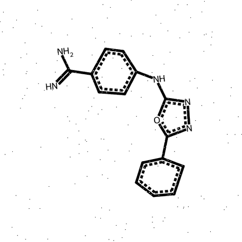 N=C(N)c1ccc(Nc2nnc(-c3ccccc3)o2)cc1